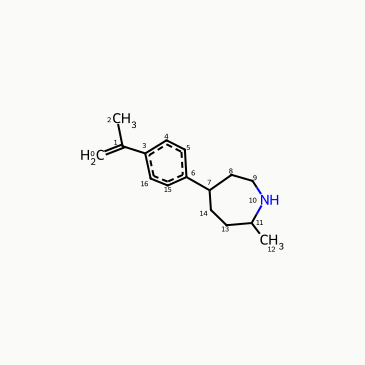 C=C(C)c1ccc(C2CCNC(C)CC2)cc1